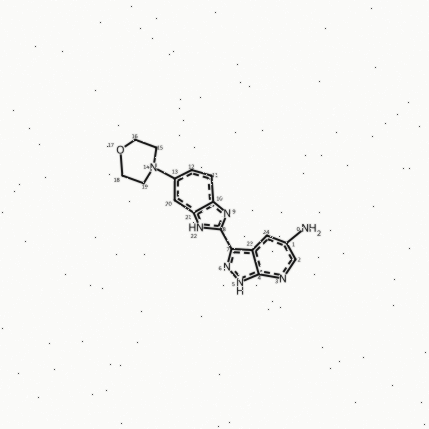 Nc1cnc2[nH]nc(-c3nc4ccc(N5CCOCC5)cc4[nH]3)c2c1